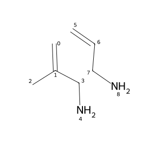 C=C(C)CN.C=CCN